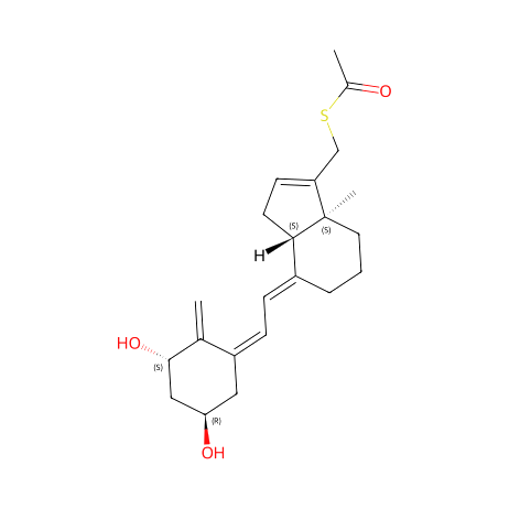 C=C1C(=CC=C2CCC[C@]3(C)C(CSC(C)=O)=CC[C@@H]23)C[C@@H](O)C[C@@H]1O